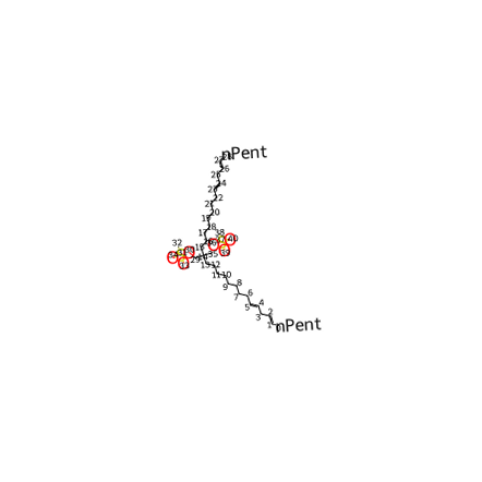 CCCCCC=CCC=CCCCCCCCCC(CCCCCCCCC=CCC=CCCCCC)(COS(C)(=O)=O)COS(C)(=O)=O